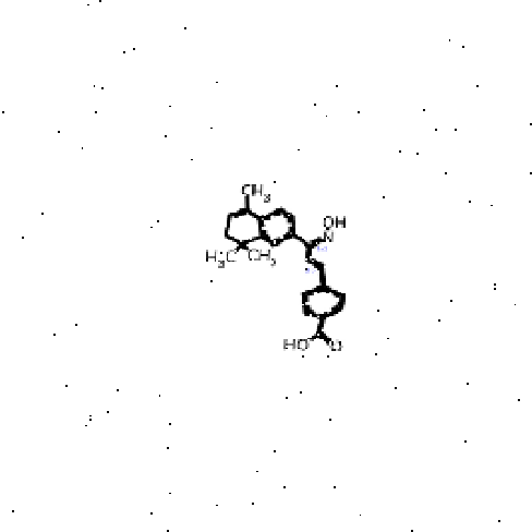 CC1=CCC(C)(C)c2cc(C(/C=C/c3ccc(C(=O)O)cc3)=N\O)ccc21